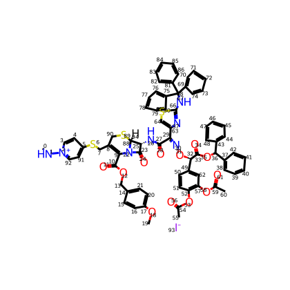 CN[n+]1ccc(SCC2=C(C(=O)OCc3ccc(OC)cc3)N3C(=O)[C@@H](NC(=O)/C(=N\O[C@@H](C(=O)OC(c4ccccc4)c4ccccc4)c4ccc(OC(C)=O)c(OC(C)=O)c4)c4csc(NC(c5ccccc5)(c5ccccc5)c5ccccc5)n4)[C@H]3SC2)cc1.[I-]